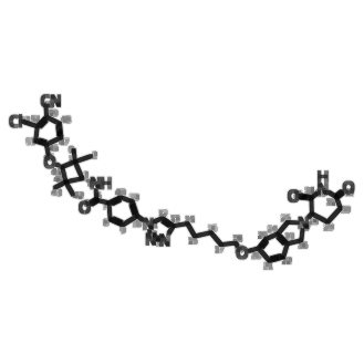 CC1(C)[C@H](NC(=O)c2ccc(-n3cc(CCCCCOc4ccc5c(c4)CN(C4CCC(=O)NC4=O)C5)nn3)cc2)C(C)(C)[C@H]1Oc1ccc(C#N)c(Cl)c1